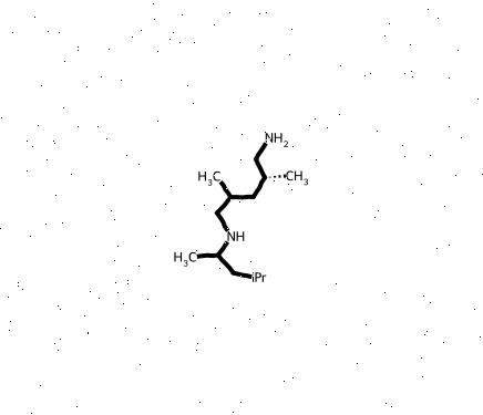 CC(C)CC(C)NCC(C)C[C@@H](C)CN